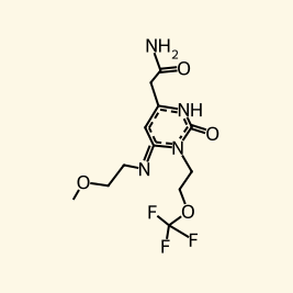 COCC/N=c1\cc(CC(N)=O)[nH]c(=O)n1CCOC(F)(F)F